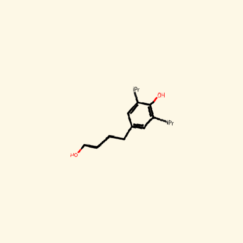 CC(C)c1cc(CCCCO)cc(C(C)C)c1O